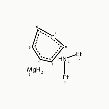 CCNCC.[MgH2].[c]1ccccc1